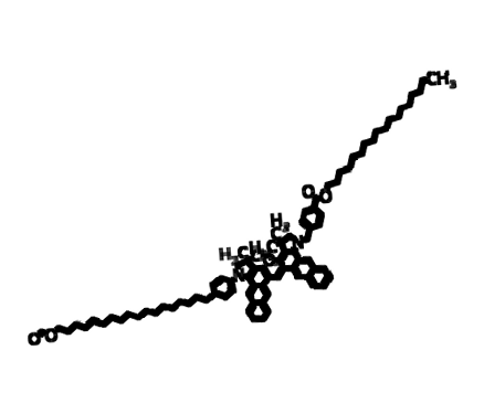 CCCCCCCCCCCCCCCCCCOC(=O)c1ccc(C[N+]2=c3c(c4c(c5cc6ccccc6cc35)=Cc3c(c5c(c6cc7ccccc7cc36)N(c3ccc(CCCCCCCCCCCCCCCCCCOC=O)cc3)CC5(C)C)O4)C(C)(C)C2)cc1